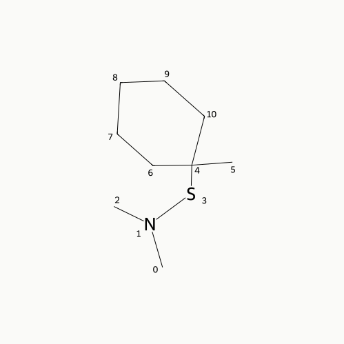 CN(C)SC1(C)CCCCC1